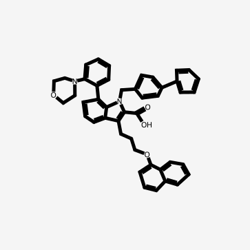 O=C(O)c1c(CCCOc2cccc3ccccc23)c2cccc(-c3ccccc3N3CCOCC3)c2n1Cc1ccc(-c2ccccc2)cc1